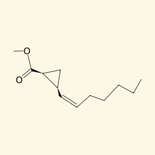 CCCCC/C=C\[C@@H]1C[C@@H]1C(=O)OC